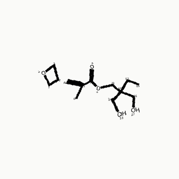 C1COC1.C=C(C)C(=O)OCC(CC)(CO)CO